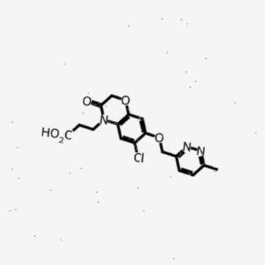 Cc1ccc(COc2cc3c(cc2Cl)N(CCC(=O)O)C(=O)CO3)nn1